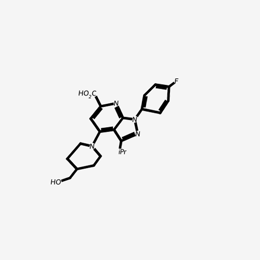 CC(C)c1nn(-c2ccc(F)cc2)c2nc(C(=O)O)cc(N3CCC(CO)CC3)c12